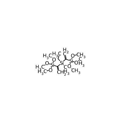 C=C([Si](OC)(OC)OC)[Si](C)(CC)C(=C)[Si](OC)(OC)OC